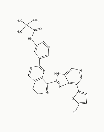 CC(C)(C)C(=O)Nc1cncc(-c2ccc3c(n2)C(c2nc4c(-c5ccc(Cl)s5)cncc4[nH]2)=NCC3)c1